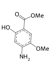 COC(=O)c1cc(OC)c(N)cc1O